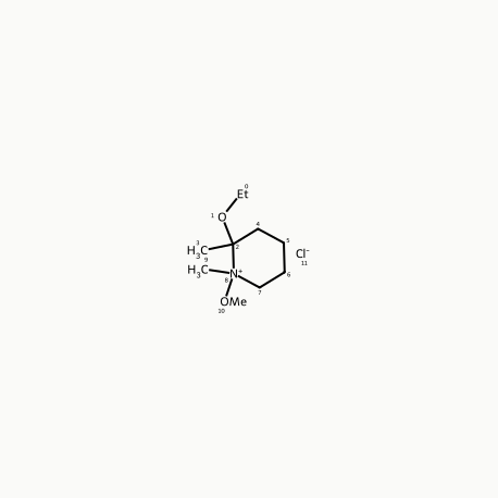 CCOC1(C)CCCC[N+]1(C)OC.[Cl-]